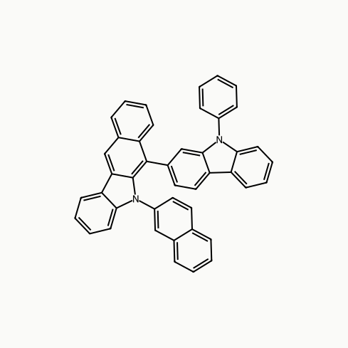 c1ccc(-n2c3ccccc3c3ccc(-c4c5ccccc5cc5c6ccccc6n(-c6ccc7ccccc7c6)c45)cc32)cc1